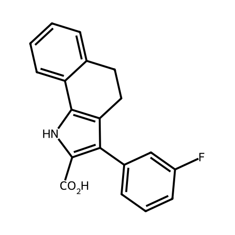 O=C(O)c1[nH]c2c(c1-c1cccc(F)c1)CCc1ccccc1-2